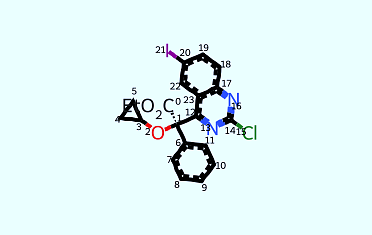 CCOC(=O)[C@@](OC1CC1)(c1ccccc1)c1nc(Cl)nc2ccc(I)cc12